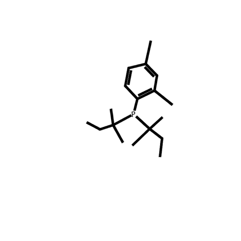 CCC(C)(C)P(c1ccc(C)cc1C)C(C)(C)CC